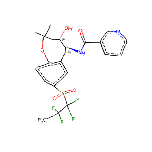 CC1(C)Oc2ccc(S(=O)(=O)C(F)(F)C(F)(F)C(F)(F)F)cc2[C@H](NC(=O)c2cccnc2)[C@H]1O